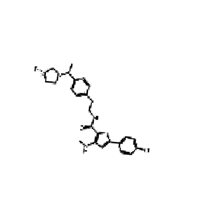 CNc1cc(-c2ccc(Cl)cc2)sc1C(=O)NCCc1ccc(C(C)N2CC[C@H](F)C2)cc1